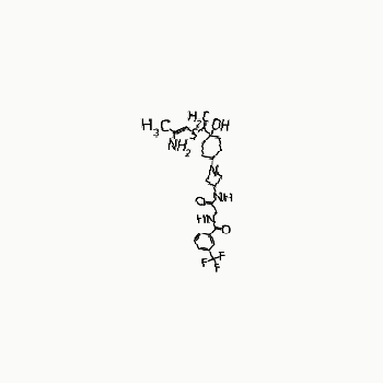 C=C(S/C=C(/C)N)[C@]1(O)CC[C@H](N2CC(NC(=O)CNC(=O)c3cccc(C(F)(F)F)c3)C2)CC1